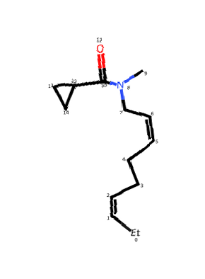 CC/C=C\CC/C=C\CN(C)C(=O)C1CC1